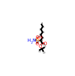 CCCCCCC(C(=O)OC(C)(C)C)P(N)(=O)O